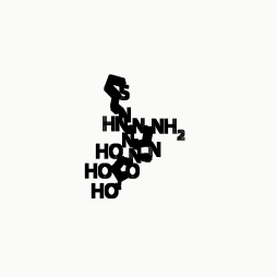 Nc1nc(NN=Cc2cccs2)nc2c1ncn2[C@@H]1O[C@H](CO)C(O)C1O